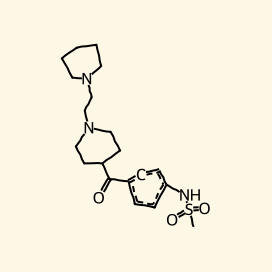 CS(=O)(=O)Nc1ccc(C(=O)C2CCN(CCN3CCCCC3)CC2)cc1